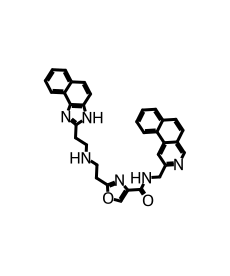 O=C(NCc1cc2c(ccc3ccccc32)cn1)c1coc(CCNCCc2nc3c(ccc4ccccc43)[nH]2)n1